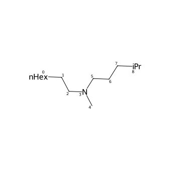 CCCCCCCCN(C)CCCC(C)C